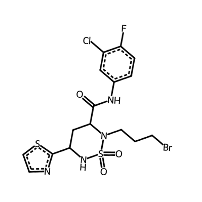 O=C(Nc1ccc(F)c(Cl)c1)C1CC(c2nccs2)NS(=O)(=O)N1CCCBr